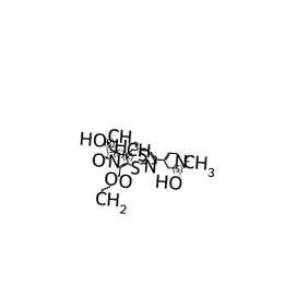 C=CCOC(=O)C1=C(Sc2nc(C3=CCN(C)[C@H](CO)C3)cs2)[C@H](C)[C@@H]2[C@@H]([C@@H](C)O)C(=O)N12